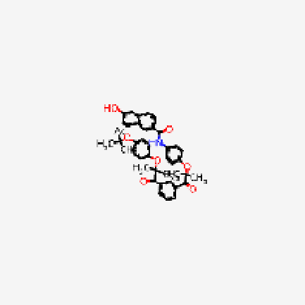 CC(=O)C(C)(C)Oc1ccc(OC(C)(C)C(=O)c2cccc(C(=O)C(C)(C)Oc3ccc(NC(=O)c4ccc5cc(O)ccc5c4)cc3)c2)cc1